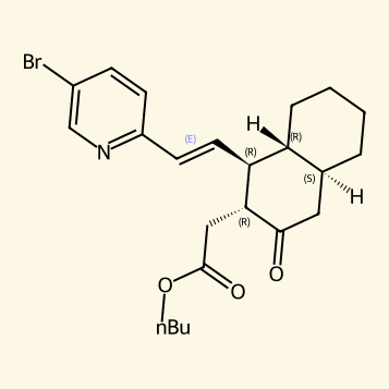 CCCCOC(=O)C[C@H]1C(=O)C[C@@H]2CCCC[C@H]2[C@@H]1/C=C/c1ccc(Br)cn1